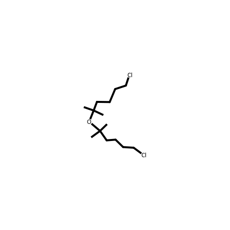 CC(C)(CCCCCl)OC(C)(C)CCCCCl